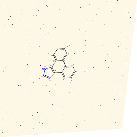 c1ccc2c(c1)c1ccccc1c1[nH]cnc21